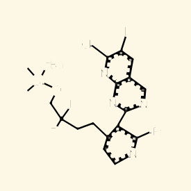 CC(C)c1nccc(CCC(F)(F)CO[Si](C)(C)C(C)(C)C)c1-c1ncc2cc(F)c(Cl)nc2n1